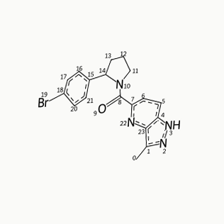 Cc1n[nH]c2ccc(C(=O)N3CCCC3c3ccc(Br)cc3)nc12